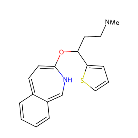 CNCCC(OC1=CC=c2ccccc2=CN1)c1cccs1